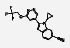 N#Cc1ccc2cc(-c3cnnc(OCC(F)(F)F)c3)n(C3CC3)c2c1